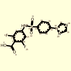 O=C(O)c1c(F)cc(NS(=O)(=O)c2ccc(-n3cncn3)cc2)cc1F